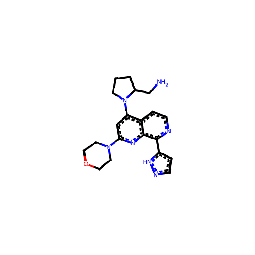 NCC1CCCN1c1cc(N2CCOCC2)nc2c(-c3ccn[nH]3)nccc12